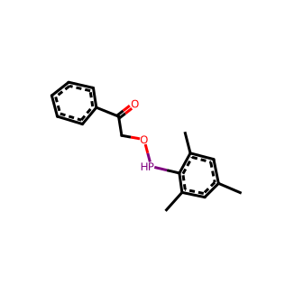 Cc1cc(C)c(POCC(=O)c2ccccc2)c(C)c1